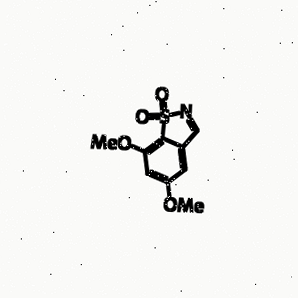 COc1cc2c(c(OC)c1)S(=O)(=O)N=C2